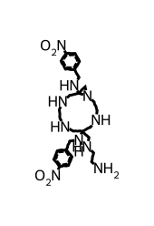 NCCNCC1(NCc2ccc([N+](=O)[O-])cc2)CNCCNCC2(NCc3ccc([N+](=O)[O-])cc3)CN2CCNC1